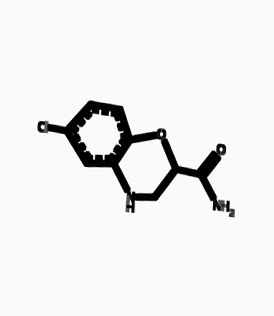 NC(=O)C1CNc2cc(Cl)ccc2O1